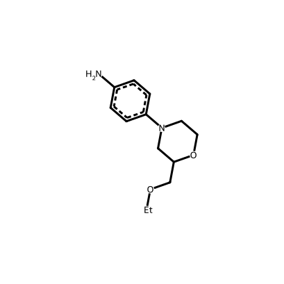 CCOCC1CN(c2ccc(N)cc2)CCO1